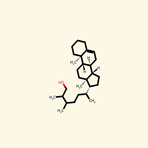 CC(CO)C(C)CCC(C)[C@H]1CC[C@H]2[C@@H]3CC=C4CCCC[C@]4(C)[C@H]3CC[C@]12C